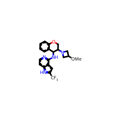 COC1CN(C2COc3ccccc3C2Nc2nccc3[nH]c(C(F)(F)F)cc23)C1